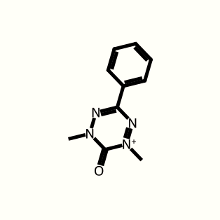 Cn1nc(-c2ccccc2)n[n+](C)c1=O